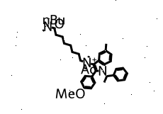 CCCCN(C)C(=O)CCCCCCC[N+](C)(C(C)=O)c1c(-c2ccc(OC)cc2)n(C(C)c2ccccc2)c2ccc(C)cc12